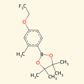 Cc1cc(OCC(F)(F)F)ccc1B1OC(C)(C)C(C)(C)O1